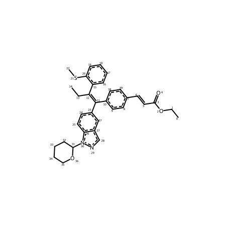 CCOC(=O)/C=C/c1ccc(/C(=C(/CC)c2ccccc2SC)c2ccc3c(cnn3C3CCCCO3)c2)cc1